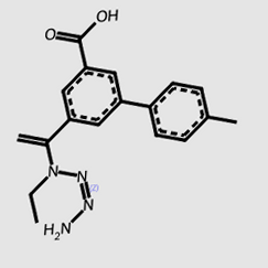 C=C(c1cc(C(=O)O)cc(-c2ccc(C)cc2)c1)N(CC)/N=N\N